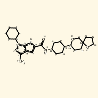 Cc1nn(C2CCCCC2)c2sc(C(=O)N[C@H]3CC[C@H](N4CCC5(CCCO5)CO4)CC3)cc12